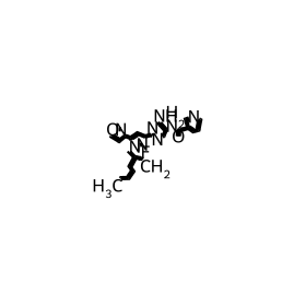 C=C(F)/C(=C\C=C/CC)Cn1nc(-c2ncc(NC(=O)c3cccnc3)c(N)n2)cc1-c1ccon1